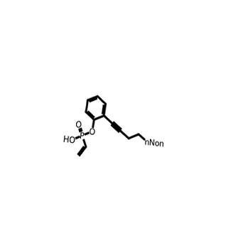 C=CP(=O)(O)Oc1ccccc1C#CCCCCCCCCCCC